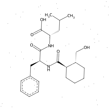 CC(C)C[C@H](NC(=O)[C@H](Cc1ccccc1)NC(=O)[C@@H]1CCCC[C@H]1CO)C(=O)O